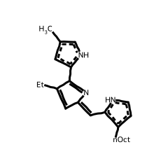 CCCCCCCCc1cc[nH]c1C=C1C=C(CC)C(c2cc(C)c[nH]2)=N1